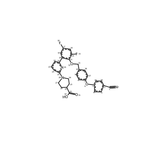 N#Cc1ccc(Oc2ccc(COc3c(F)cc(F)cc3-c3cccc(N4CCC(C(=O)O)CC4)n3)cc2)cc1